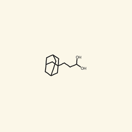 OC(O)CCC12CC3CC(CC(C3)C1)C2